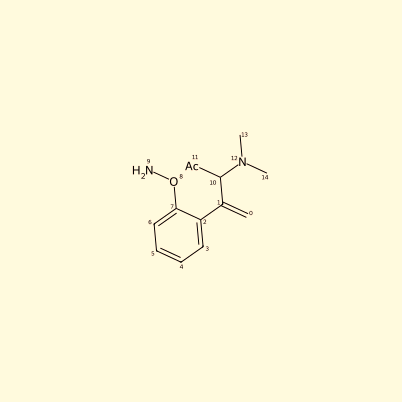 C=C(c1ccccc1ON)C(C(C)=O)N(C)C